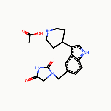 CC(=O)O.O=C1CN(Cc2ccc3[nH]cc(C4CCNCC4)c3c2)C(=O)N1